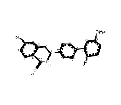 COc1ccc(F)c(-c2ccc([C@@H]3Cc4cc(Br)ccc4C(=O)O3)cc2)c1